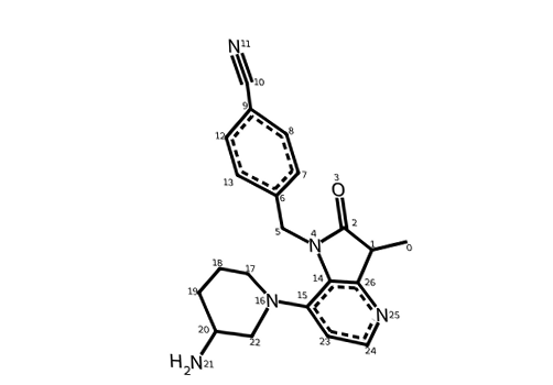 CC1C(=O)N(Cc2ccc(C#N)cc2)c2c(N3CCCC(N)C3)ccnc21